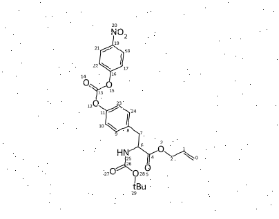 C=CCOC(=O)C(Cc1ccc(OC(=O)Oc2ccc([N+](=O)[O-])cc2)cc1)NC(=O)OC(C)(C)C